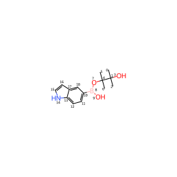 CC(C)(O)C(C)(C)OB(O)c1ccc2[nH]ccc2c1